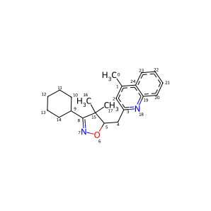 Cc1cc(CC2ON=C(C3CCCCC3)C2(C)C)nc2ccccc12